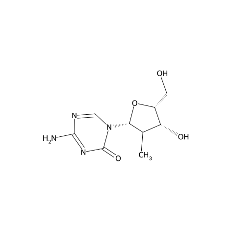 CC1[C@@H](O)[C@@H](CO)O[C@H]1n1cnc(N)nc1=O